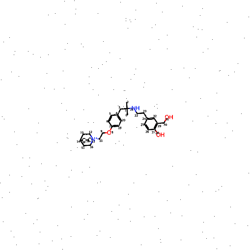 CC(C)(Cc1ccc(OCC[N+]23CCC(CC2)CC3)cc1)NCCc1ccc(O)c(CO)c1